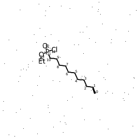 C=CCCCCCCCCCP(=O)(Cl)OCC